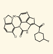 N#Cc1cnc2sc(C(=O)N3CCCC(F)C3)c3c2c1N(c1c(Cl)ccc2c1OCO2)C(=O)N3